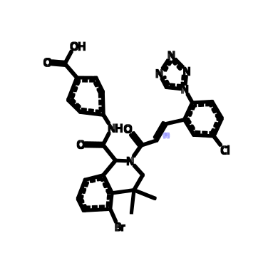 CC1(C)CN(C(=O)/C=C/c2cc(Cl)ccc2-n2cnnn2)C(C(=O)Nc2ccc(C(=O)O)cc2)c2cccc(Br)c21